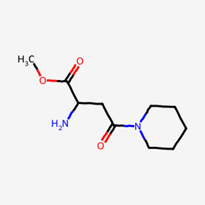 COC(=O)C(N)CC(=O)N1CCCCC1